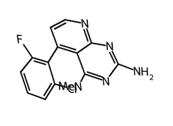 CNc1nc(N)nc2nccc(-c3c(F)cccc3Cl)c12